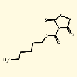 CCCCCCOC(=O)N1C(=O)CSC1=S